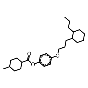 CCCC1CCCCC1CCCOc1ccc(OC(=O)C2CCC(C)CC2)cc1